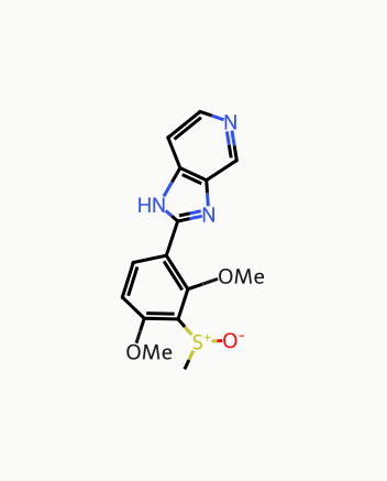 COc1ccc(-c2nc3cnccc3[nH]2)c(OC)c1[S+](C)[O-]